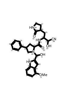 COc1cccc2[nH]c(C(O)N3CC(c4ccccc4)CC3C(=O)NC(CC3CCNC3=O)C(O)C#N)cc12